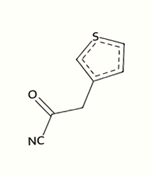 N#CC(=O)Cc1ccsc1